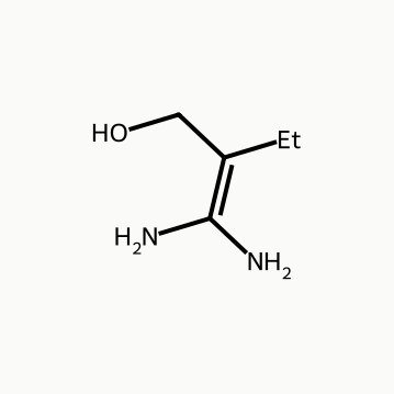 CCC(CO)=C(N)N